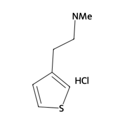 CNCCc1ccsc1.Cl